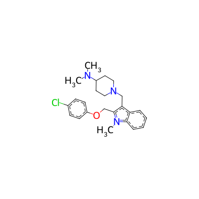 CN(C)C1CCN(Cc2c(COc3ccc(Cl)cc3)n(C)c3ccccc23)CC1